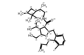 C=CCOc1c(I)cccc1CN1O[C@@H](CO)[C@@H]([C@H](C)O)[C@H]1C(=O)NC[C@@H](C)[C@@H]1C[C@H](C)C1(C)C